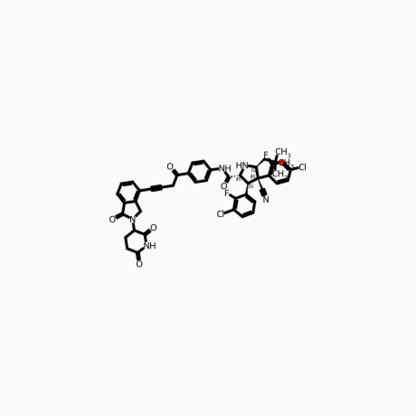 CC(C)(C)C[C@@H]1N[C@@H](C(=O)Nc2ccc(C(=O)CC#Cc3cccc4c3CN(C3CCC(=O)NC3=O)C4=O)cc2)[C@H](c2cccc(Cl)c2F)[C@@]1(C#N)c1ccc(Cl)cc1F